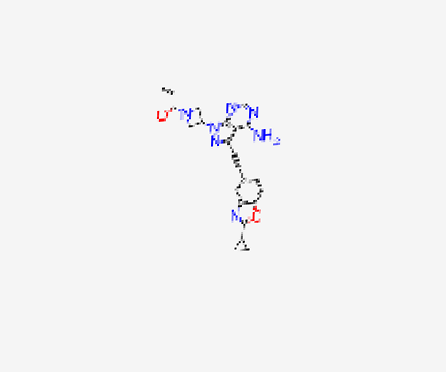 C=CC(=O)N1CC(n2nc(C#Cc3ccc4oc(C5CC5)nc4c3)c3c(N)ncnc32)C1